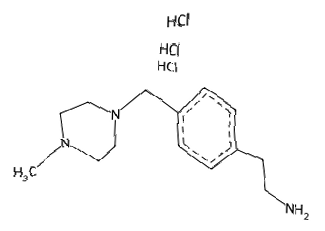 CN1CCN(Cc2ccc(CCN)cc2)CC1.Cl.Cl.Cl